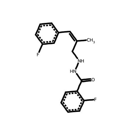 CC(=Cc1cccc(F)c1)CNNC(=O)c1ccccc1F